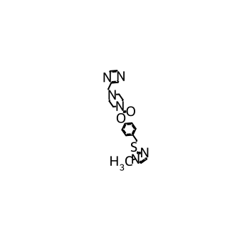 Cn1ccnc1SCc1ccc(OC(=O)N2CCN(Cc3cnccn3)CC2)cc1